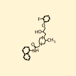 CC1CN(CC(=O)Nc2cccc3ccccc23)CCN1CC(O)COc1ccccc1F